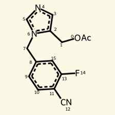 CC(=O)OCc1cncn1Cc1ccc(C#N)c(F)c1